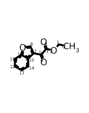 CCOC(=O)C(=O)c1coc2ccccc12